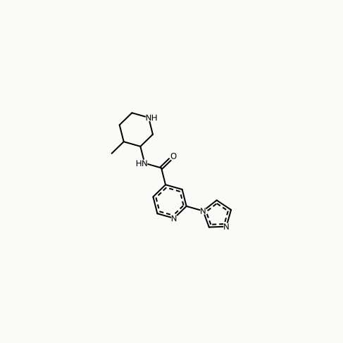 CC1CCNCC1NC(=O)c1ccnc(-n2ccnc2)c1